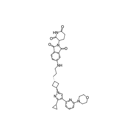 O=C1CCC(N2C(=O)c3ccc(NCCC[C@H]4C[C@H](n5cc(-c6cccc(N7CCOCC7)n6)c(C6CC6)n5)C4)cc3C2=O)C(=O)N1